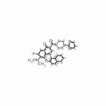 CN(C)c1c(F)cc2c(=O)c(C(=O)N3CCN(c4ncccn4)CC3)cn3c2c1Oc1ccc2ccccc2c1-3